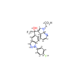 O=C(O)Cn1cc(C(O)(c2ccc3c(cnn3-c3ccc(F)cc3)c2)C(F)(F)F)c2cccnc21